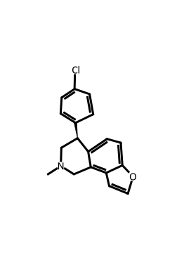 CN1Cc2c(ccc3occc23)[C@H](c2ccc(Cl)cc2)C1